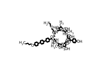 CCCCCOc1ccc(-c2ccc(-c3ccc(C(=O)NC4CCC(OCCOCCN)NC(=O)C5[C@@H](O)[C@@H](C)CN5C(=O)C([C@@H](C)O)NC(=O)C([C@H](O)[C@@H](O)c5ccc(O)cc5)NC(=O)C5C[C@@H](O)CN5C(=O)C(C(C)C)NC4=O)cc3)cc2)cc1